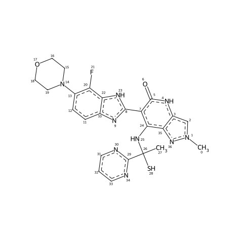 Cn1cc2[nH]c(=O)c(-c3nc4ccc(N5CCOCC5)c(F)c4[nH]3)c(NC(C)(S)c3ncccn3)c2n1